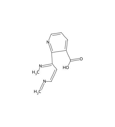 C=N/C=C\C(=N/C)c1ncccc1C(=O)O